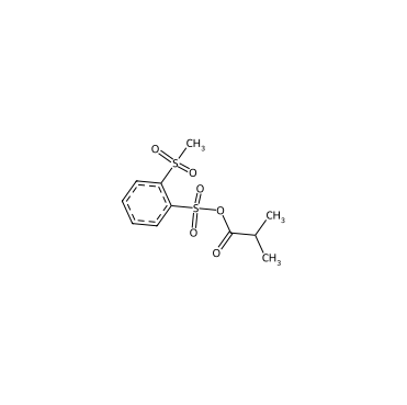 CC(C)C(=O)OS(=O)(=O)c1ccccc1S(C)(=O)=O